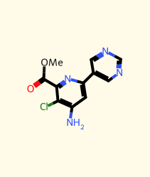 COC(=O)c1nc(-c2cncnc2)cc(N)c1Cl